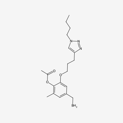 BCc1cc(C)c(OC(C)=O)c(OCCCc2cn(CCCC)nn2)c1